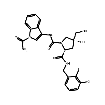 NC(=O)n1cc(NC(=O)N2C[C@@](O)(CO)C[C@H]2C(=O)NCc2cccc(Cl)c2F)c2ccccc21